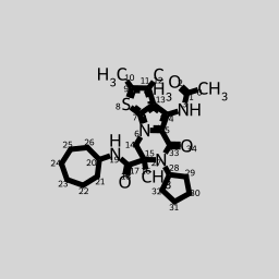 CC(=O)Nc1c2n(c3sc(C)c(C)c13)CC(C)(C(=O)NC1CCCCCC1)N(C1CCCC1)C2=O